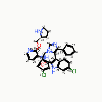 C[C@@H](c1ccc(Cl)cc1)n1cnc(-c2ccccc2)c1-c1c(C(=O)Nc2cccnc2OC[C@@H]2CCCN2)[nH]c2cc(Cl)ccc12